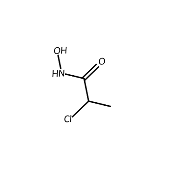 CC(Cl)C(=O)NO